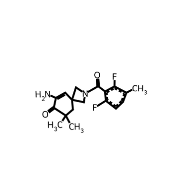 Cc1ccc(F)c(C(=O)N2CC3(C=C(N)C(=O)C(C)(C)C3)C2)c1F